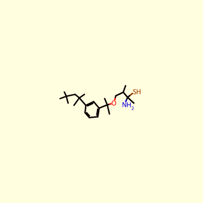 CC(COC(C)(C)c1cccc(C(C)(C)CC(C)(C)C)c1)C(C)(N)S